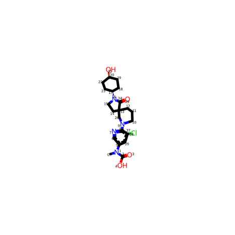 CN(C(=O)O)c1cnc(N2CCCC3(CCN([C@H]4CC[C@H](O)CC4)C3=O)C2)c(Cl)c1